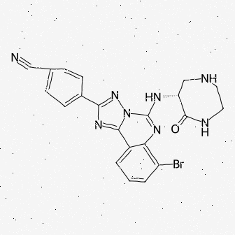 N#Cc1ccc(-c2nc3c4cccc(Br)c4nc(N[C@@H]4CNCCNC4=O)n3n2)cc1